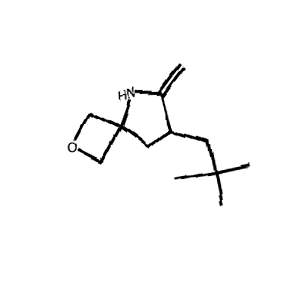 C=C1NC2(COC2)CC1CC(C)(C)C